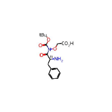 CC(C)(C)OC(=O)N(OCC(=O)O)C(=O)[C@@H](N)Cc1ccccc1